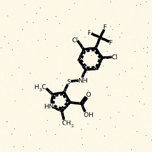 Cc1[nH]c(C)c(C(=O)O)c1SNc1cc(Cl)c(C(F)(F)F)c(Cl)c1